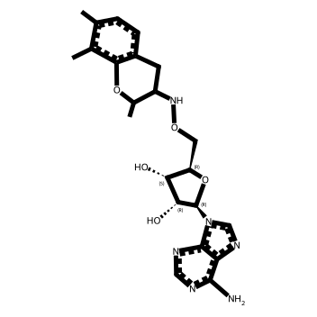 Cc1ccc2c(c1C)OC(C)C(NOC[C@H]1O[C@@H](n3cnc4c(N)ncnc43)[C@H](O)[C@@H]1O)C2